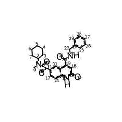 CN(C1CCCCC1)S(=O)(=O)c1ccc2[nH]c(=O)cc(C(=O)NCc3ccccc3)c2c1